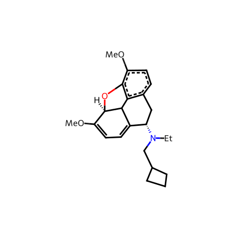 CCN(CC1CCC1)[C@H]1Cc2ccc(OC)c3c2C2C1=CC=C(OC)[C@H]2O3